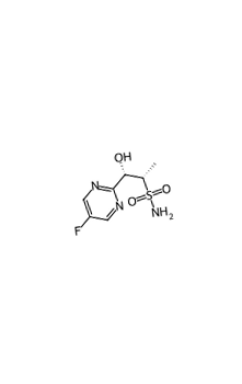 C[C@@H]([C@@H](O)c1ncc(F)cn1)S(N)(=O)=O